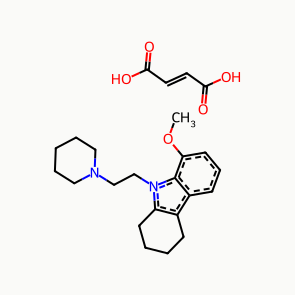 COc1cccc2c3c(n(CCN4CCCCC4)c12)CCCC3.O=C(O)C=CC(=O)O